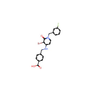 O=C(O)c1ccc(CNc2ccn(Cc3cccc(F)c3)c(=O)c2Br)cc1